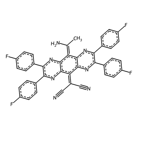 CC(N)=c1c2nc(-c3ccc(F)cc3)c(-c3ccc(F)cc3)nc2c(=C(C#N)C#N)c2nc(-c3ccc(F)cc3)c(-c3ccc(F)cc3)nc12